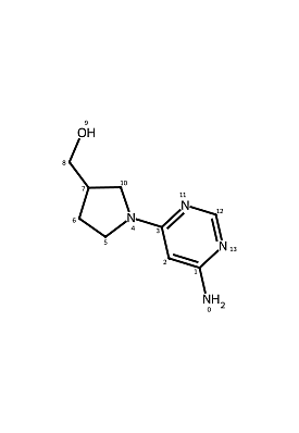 Nc1cc(N2CCC(CO)C2)ncn1